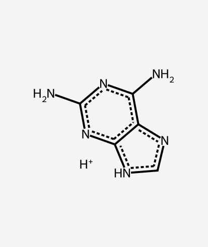 Nc1nc(N)c2nc[nH]c2n1.[H+]